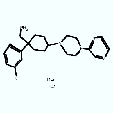 Cl.Cl.NCC1(c2cccc(Cl)c2)CCC(N2CCN(c3cnccn3)CC2)CC1